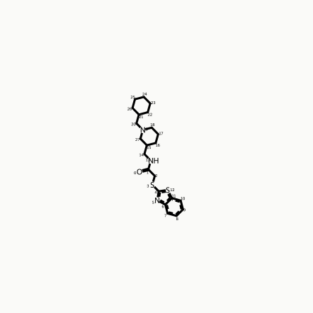 O=C(CSc1nc2ccccc2s1)NCC1CCCN(CC2CCCCC2)C1